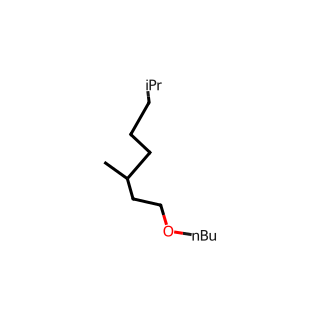 CCCCOCCC(C)CCCC(C)C